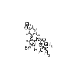 COc1ccc(CN(C(=O)OC(C)(C)C)c2nc(Br)cs2)cc1